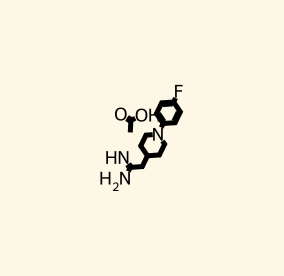 CC(=O)O.N=C(N)CC1CCN(c2ccc(F)cc2)CC1